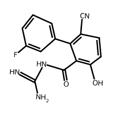 N#Cc1ccc(O)c(C(=O)NC(=N)N)c1-c1cccc(F)c1